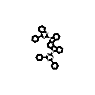 c1ccc(-c2nc(-c3ccccc3)nc(-n3c4ccccc4c4c5c6ccccc6n(-c6nc(-c7ccccc7)c7ccccc7n6)c5ccc43)n2)cc1